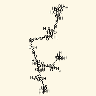 CCCCCC(C)(CCC(=O)NCCOCCOCCNC(=O)CCSC1OC(CO)C(O)C(O)C1NC(C)=O)CNC(=O)OCCOCCOCCn1cc(CCC(=O)NCCOCCOCCNC(=O)Nc2cc(C(=O)NCCCC[C@H](NC(=O)CCCC[C@@H]3SC[C@@H]4NC(=N)N[C@@H]43)C(=O)OC)cc(C(=O)NCCCC[C@H](NC(=O)CCCC[C@@H]3SC[C@@H]4NC(=N)N[C@@H]43)C(=O)OC)c2)nn1